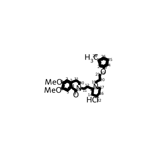 COc1cc2c(cc1OC)C(=O)N(CCC1CCCCN1CCCOc1cccc(C)c1)CC2.Cl